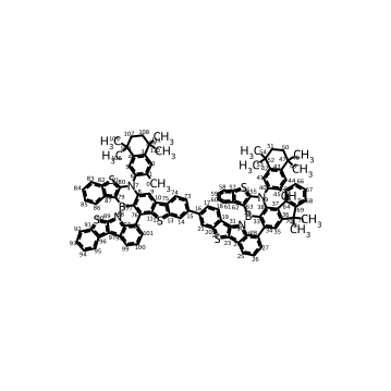 Cc1cc2c(cc1N1c3cc4c(sc5cc(-c6ccc7c(c6)sc6c8cccc9c8n(c76)B6c7c-9cc8c(c7N(c7cc9c(cc7C)C(C)(C)CCC9(C)C)c7sc9ccccc9c76)-c6ccccc6C8(C)C)ccc54)c4c3B(c3c1sc1ccccc31)n1c3sc5ccccc5c3c3cccc-4c31)C(C)(C)CCC2(C)C